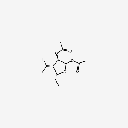 CC[C@H]1OC(OC(C)=O)[C@H](OC(C)=O)[C@@H]1C(F)F